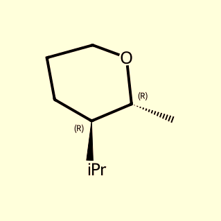 CC(C)[C@H]1CCCO[C@@H]1C